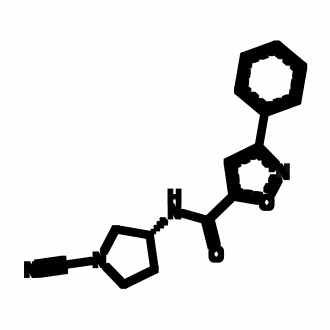 N#CN1CC[C@@H](NC(=O)c2cc(-c3ccccc3)no2)C1